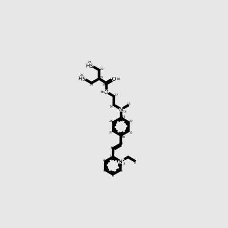 CC[n+]1ccccc1/C=C/c1ccc(N(C)CCOC(=O)C(CS)CS)cc1